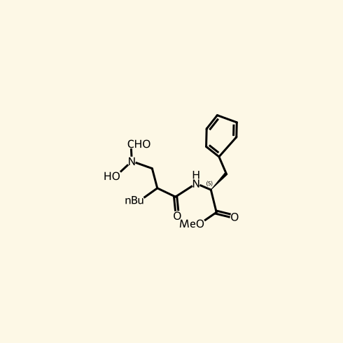 CCCCC(CN(O)C=O)C(=O)N[C@@H](Cc1ccccc1)C(=O)OC